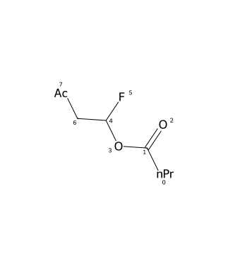 CCCC(=O)OC(F)CC(C)=O